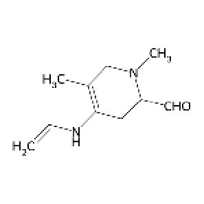 C=CNC1=C(C)CN(C)C(C=O)C1